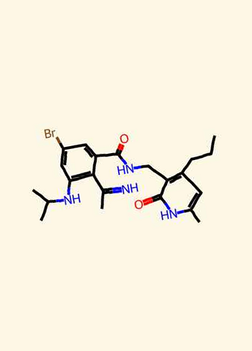 CCCc1cc(C)[nH]c(=O)c1CNC(=O)c1cc(Br)cc(NC(C)C)c1C(C)=N